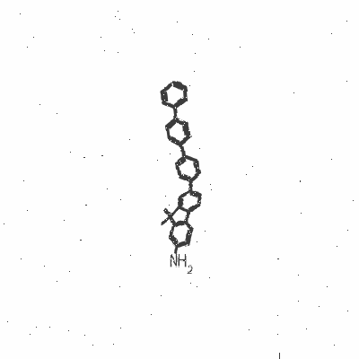 CC1(C)c2cc(N)ccc2-c2ccc(-c3ccc(-c4ccc(-c5ccccc5)cc4)cc3)cc21